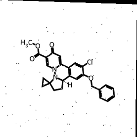 COC(=O)c1cn2c(cc1=O)-c1cc(Cl)c(OCc3ccccc3)cc1[C@H]1CCC3(CC3)N12